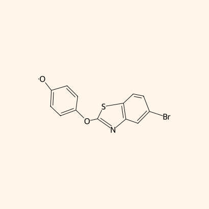 [O]c1ccc(Oc2nc3cc(Br)ccc3s2)cc1